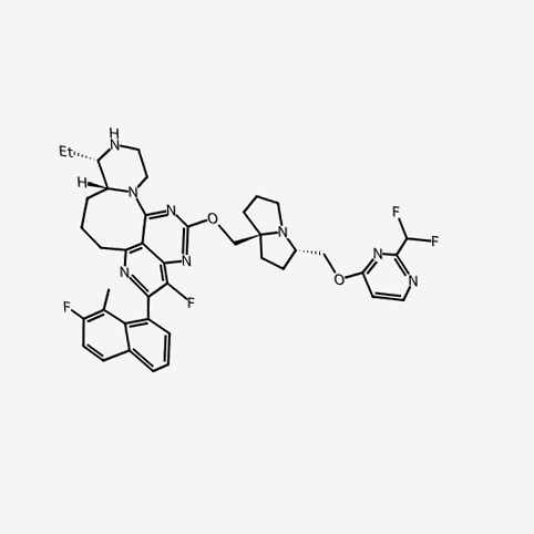 CC[C@@H]1NCCN2c3nc(OC[C@@]45CCCN4[C@H](COc4ccnc(C(F)F)n4)CC5)nc4c(F)c(-c5cccc6ccc(F)c(C)c56)nc(c34)CCC[C@H]12